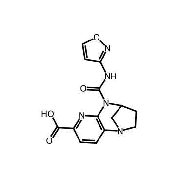 O=C(O)c1ccc2c(n1)N(C(=O)Nc1ccon1)C1CCN2C1